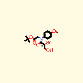 COc1ccc(N(CC(=O)OC(C)(C)C)C(=O)[C@@H](Br)CO)cc1